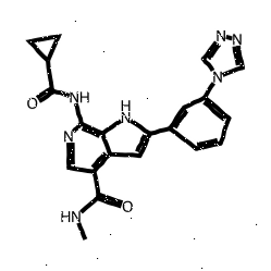 CNC(=O)c1cnc(NC(=O)C2CC2)c2[nH]c(-c3cccc(-n4cnnc4)c3)cc12